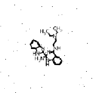 CCN(CC)CCNC1=NC(N)(c2nc3ccccc3[nH]2)Nc2ccccc21